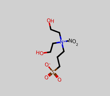 O=[N+]([O-])[N+](CCO)(CCO)CCCS(=O)(=O)[O-]